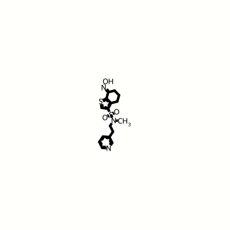 CN(CCc1cccnc1)S(=O)(=O)c1csc2c1CCCC2=NO